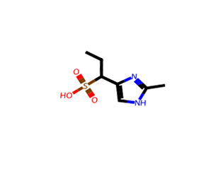 CCC(c1c[nH]c(C)n1)S(=O)(=O)O